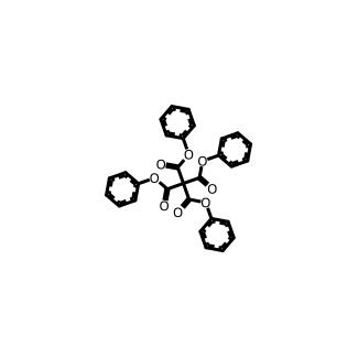 O=C(Oc1ccccc1)C(C(=O)Oc1ccccc1)(C(=O)Oc1ccccc1)C(=O)Oc1ccccc1